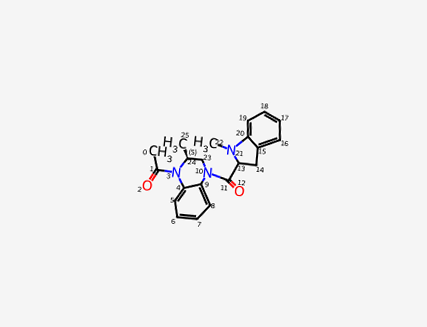 CC(=O)N1c2ccccc2N(C(=O)C2Cc3ccccc3N2C)C[C@@H]1C